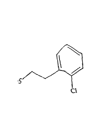 [S]CCc1ccccc1Cl